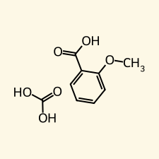 COc1ccccc1C(=O)O.O=C(O)O